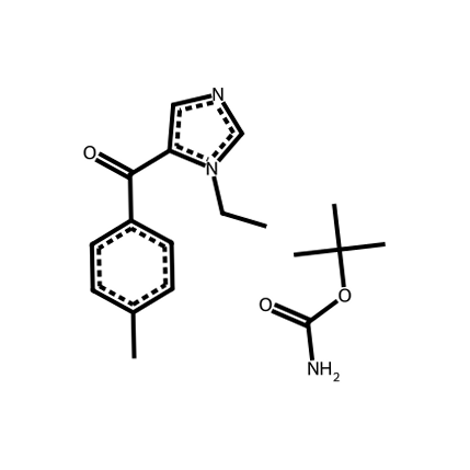 CC(C)(C)OC(N)=O.CCn1cncc1C(=O)c1ccc(C)cc1